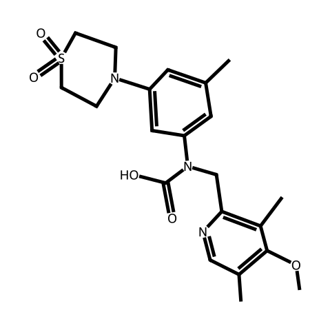 COc1c(C)cnc(CN(C(=O)O)c2cc(C)cc(N3CCS(=O)(=O)CC3)c2)c1C